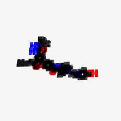 CCC(CC)NC(=O)Nc1ccc(Oc2ccc(NC(=O)c3ccc4c(ccn4CCCN4CCC(O)CC4)c3)cc2)c(C(=O)NC)c1